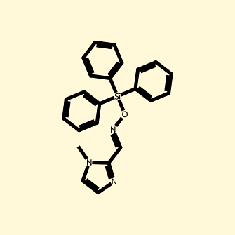 Cn1ccnc1C=NO[Si](c1ccccc1)(c1ccccc1)c1ccccc1